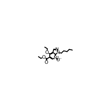 CCCCCn1ncc2c(OCC)c(C(=O)OCC)c[n+]([O-])c21